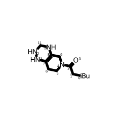 CCC(C)[CH]C(=O)N1CCC2=C(C1)NCNN2